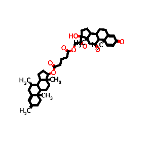 C=C1C=C2CC(C)C3C(CCC4(C)C(OC(=O)CCCC(=O)OCC(=O)C5(O)CCC6C7CCC8=CC(=O)C=CC8(C)C7C(=O)CC65C)CCC34)C2(C)CC1